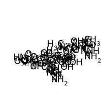 CO[C@@H]1[C@H](P(=O)([O-])OC[C@H]2O[C@@H](n3ccc(=O)[nH]c3=O)[C@H](O)[C@@H]2O)[C@@H](COP(=O)(O)OP(=O)(O)OP(=O)(O)OC[C@H]2OC(n3c[n+](C)c4c(=O)[nH]c(N)nc43)[C@H](O)[C@@H]2CC(=O)N(C)C)O[C@H]1n1cnc2c(N)ncnc21